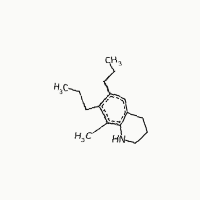 CCCc1cc2c(c(C)c1CCC)NCCC2